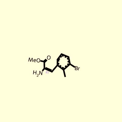 COC(=O)/C(N)=C\c1cccc(Br)c1C